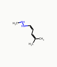 CNN/C=C\C=C(C)C